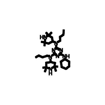 CCCCN(c1nc(NC2CCCCC2)nc(N(CCCC)C2CC(C)(C)NC(C)(C)C2)n1)C1CC(C)(C)NC(C)(C)C1